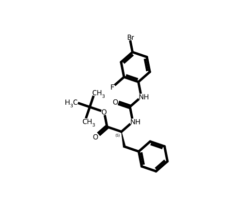 CC(C)(C)OC(=O)[C@H](Cc1ccccc1)NC(=O)Nc1ccc(Br)cc1F